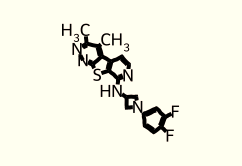 Cc1nnc2sc3c(NC4CN(c5ccc(F)c(F)c5)C4)nccc3c2c1C